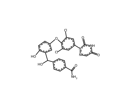 NC(=O)c1ccc(C(O)c2cc(Oc3c(Cl)cc(-n4ncc(=O)[nH]c4=O)cc3Cl)ccc2O)cc1